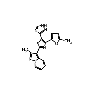 Cc1ccc(-c2nc(-c3c(C)nn4ccccc34)sc2-c2nc[nH]n2)o1